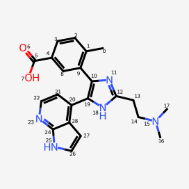 Cc1ccc(C(=O)O)cc1-c1nc(CCN(C)C)[nH]c1-c1ccnc2[nH]ccc12